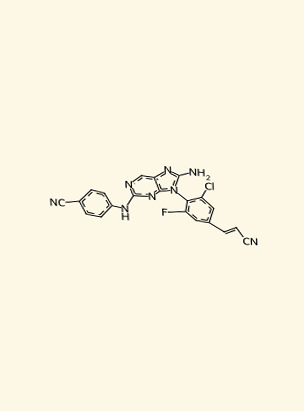 N#C/C=C/c1cc(F)c(-n2c(N)nc3cnc(Nc4ccc(C#N)cc4)nc32)c(Cl)c1